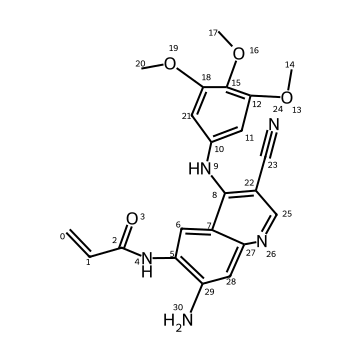 C=CC(=O)Nc1cc2c(Nc3cc(OC)c(OC)c(OC)c3)c(C#N)cnc2cc1N